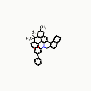 CC1C=c2cc3c(c4c2=C(C1)C(C)(C)c1ccccc1-4)N(c1cccc(-c2ccccc2)c1)Cc1ccc2ccccc2c1-3